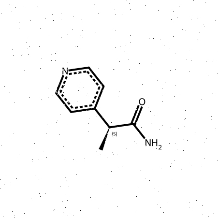 C[C@H](C(N)=O)c1ccncc1